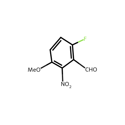 COc1ccc(F)c(C=O)c1[N+](=O)[O-]